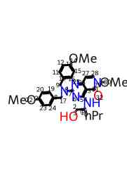 CCC[C@@H](CO)Nc1nc(N(Cc2ccc(OC)cc2)Cc2ccc(OC)cc2)nc2ccn(OC)c(=O)c12